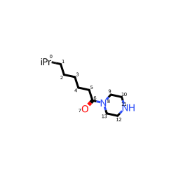 CC(C)CCCCCC(=O)N1CCNCC1